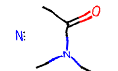 CC(=O)N(C)C.[N]